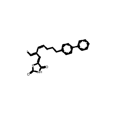 O=C1NC(=O)/C(=C/C(/C=C\CCCc2ccc(-c3ccccc3)cc2)=C/I)S1